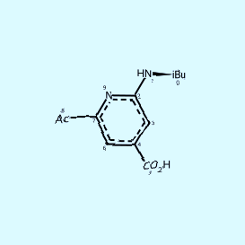 CC[C@H](C)Nc1cc(C(=O)O)cc(C(C)=O)n1